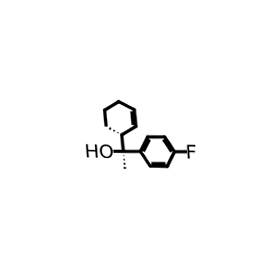 C[C@@](O)(c1ccc(F)cc1)[C@H]1C=CCCC1